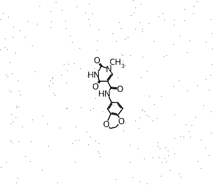 Cn1cc(C(=O)Nc2ccc3c(c2)OCCO3)c(=O)[nH]c1=O